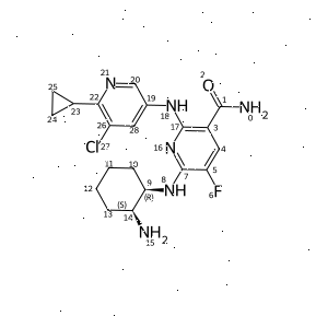 NC(=O)c1cc(F)c(N[C@@H]2CCCC[C@@H]2N)nc1Nc1cnc(C2CC2)c(Cl)c1